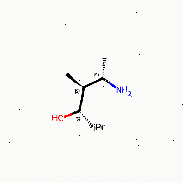 CC(C)[C@H](O)[C@@H](C)[C@H](C)N